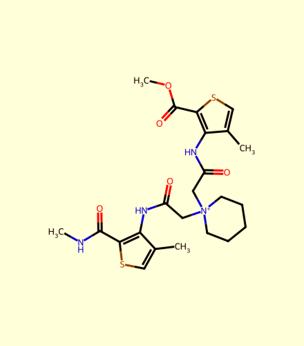 CNC(=O)c1scc(C)c1NC(=O)C[N+]1(CC(=O)Nc2c(C)csc2C(=O)OC)CCCCC1